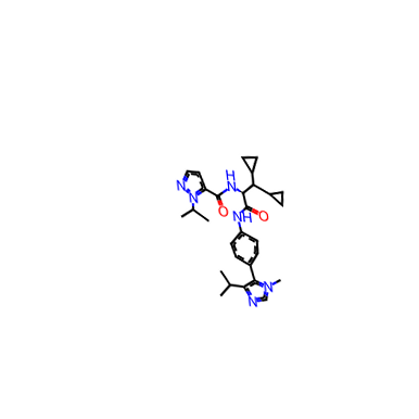 CC(C)c1ncn(C)c1-c1ccc(NC(=O)[C@@H](NC(=O)c2ccnn2C(C)C)C(C2CC2)C2CC2)cc1